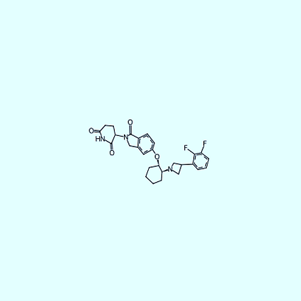 O=C1CCC(N2Cc3cc(O[C@@H]4CCCC[C@@H]4N4CC(c5cccc(F)c5F)C4)ccc3C2=O)C(=O)N1